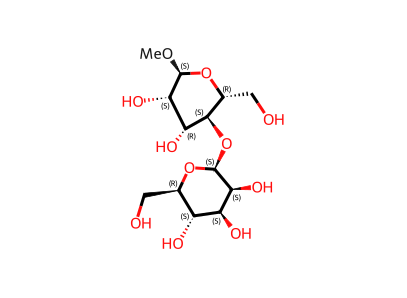 CO[C@H]1O[C@H](CO)[C@@H](O[C@@H]2O[C@H](CO)[C@@H](O)[C@H](O)[C@@H]2O)[C@H](O)[C@@H]1O